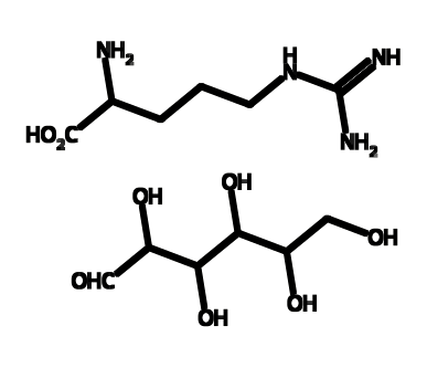 N=C(N)NCCCC(N)C(=O)O.O=CC(O)C(O)C(O)C(O)CO